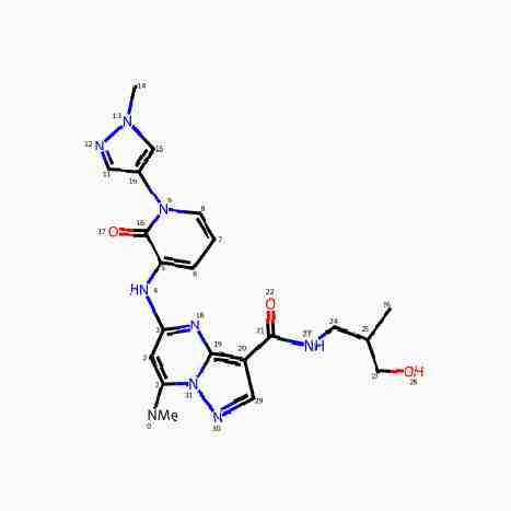 CNc1cc(Nc2cccn(-c3cnn(C)c3)c2=O)nc2c(C(=O)NCC(C)CO)cnn12